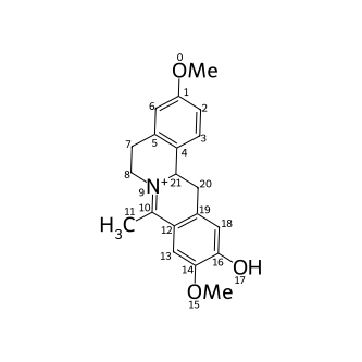 COc1ccc2c(c1)CC[N+]1=C(C)c3cc(OC)c(O)cc3CC21